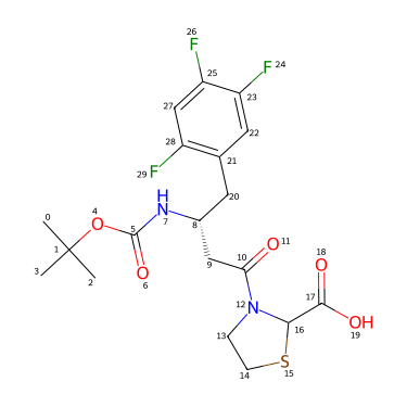 CC(C)(C)OC(=O)N[C@@H](CC(=O)N1CCSC1C(=O)O)Cc1cc(F)c(F)cc1F